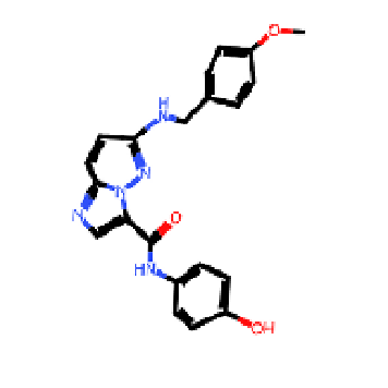 COc1ccc(CNc2ccc3ncc(C(=O)Nc4ccc(O)cc4)n3n2)cc1